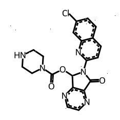 O=C(OC1c2nccnc2C(=O)N1c1ccc2ccc(Cl)cc2n1)N1CCNCC1